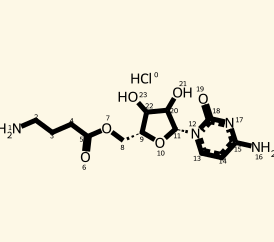 Cl.NCCCC(=O)OC[C@H]1O[C@@H](n2ccc(N)nc2=O)C(O)C1O